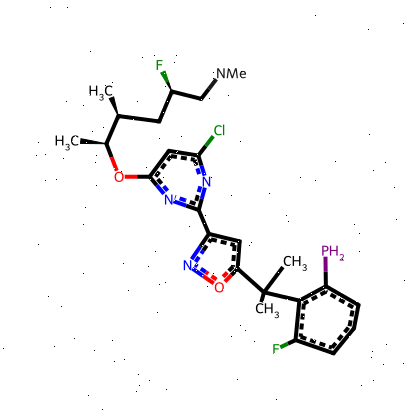 CNC[C@H](F)C[C@H](C)[C@H](C)Oc1cc(Cl)nc(-c2cc(C(C)(C)c3c(F)cccc3P)on2)n1